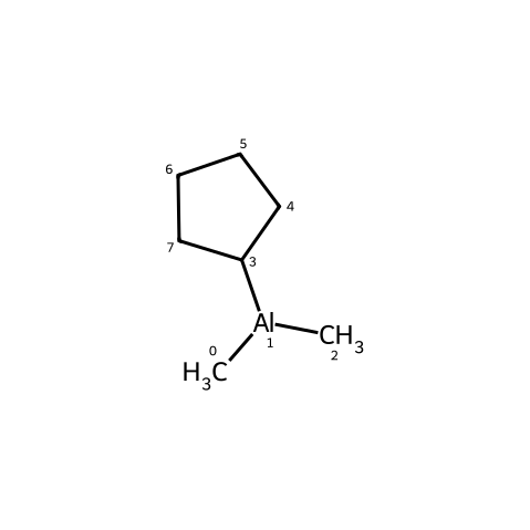 [CH3][Al]([CH3])[CH]1CCCC1